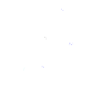 N#Cc1cnccc1Nc1cc(-c2cc(Cl)ccc2F)nc2c1CCC2